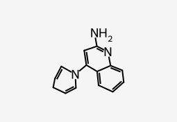 Nc1cc(N2C=CCC=C2)c2ccccc2n1